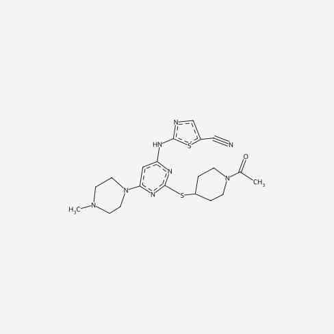 CC(=O)N1CCC(Sc2nc(Nc3ncc(C#N)s3)cc(N3CCN(C)CC3)n2)CC1